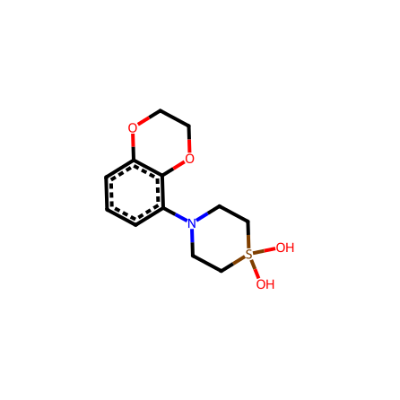 OS1(O)CCN(c2cccc3c2OCCO3)CC1